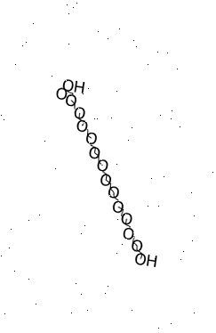 O=C(O)COCCOCCOCCOCCOCCOCCOCCOCCOCCOCCOCCOCCO